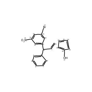 C=CC(c1ccccc1)c1cc(Br)cc([N+](=O)[O-])c1.Oc1ccccc1